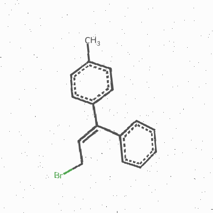 Cc1ccc(C(=CCBr)c2ccccc2)cc1